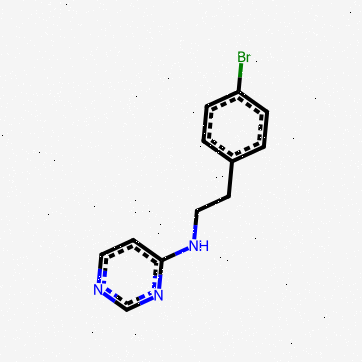 Brc1ccc(CCNc2ccncn2)cc1